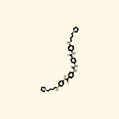 O=C(Nc1ccc(C(=O)Nc2ccc(NCCCCN3CCCC3)cc2)cc1)Nc1ccc(C(=O)Nc2ccc(NCCCCN3CCCC3)cc2)cc1